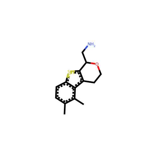 Cc1ccc2sc3c(c2c1C)CCOC3CN